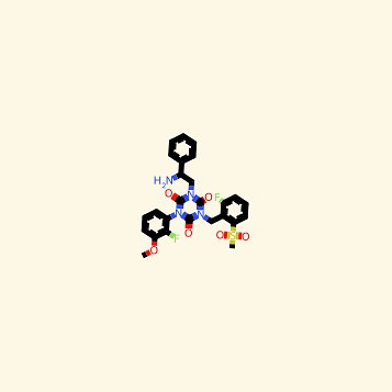 COc1cccc(-n2c(=O)n(Cc3c(F)cccc3S(C)(=O)=O)c(=O)n(CC(N)c3ccccc3)c2=O)c1F